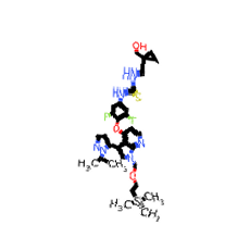 CC(C)n1nccc1-c1cn(COCC[Si](C)(C)C)c2nccc(Oc3c(F)cc(NC(=S)NCC4(CO)CC4)cc3F)c12